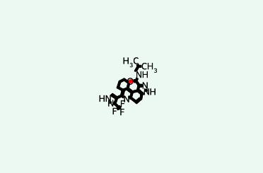 CC(C)CNC(=O)c1n[nH]c2ccc3nc(-c4c[nH]nc4C(F)(F)F)c4c(c3c12)CCCC4